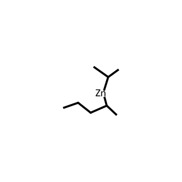 CCC[CH](C)[Zn][CH](C)C